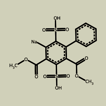 COC(=O)c1[c]([Na])c(S(=O)(=O)O)c(-c2ccccc2)c(C(=O)OC)c1S(=O)(=O)O